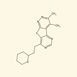 Cc1nnc2sc3c(CCC4CCCCO4)ncnc3c2c1C